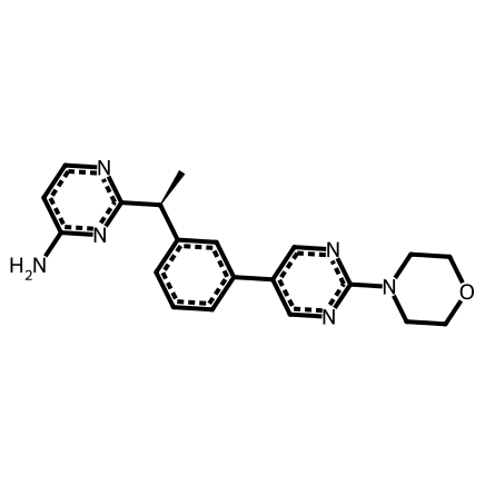 C[C@@H](c1cccc(-c2cnc(N3CCOCC3)nc2)c1)c1nccc(N)n1